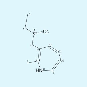 CC[S@+]([O-])CC1=C(C)NC=CC=C1